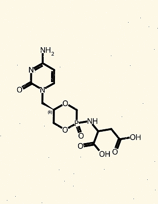 Nc1ccn(C[C@@H]2COP(=O)(NC(CC(=O)O)C(=O)O)CO2)c(=O)n1